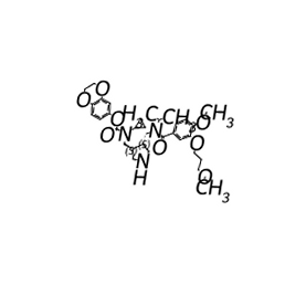 COCCCOc1cc(C(=O)N(C[C@@H]2CNC[C@H]2CN(C(=O)Oc2ccc3c(c2)OCCO3)C2CC2)C(C)C)ccc1OC